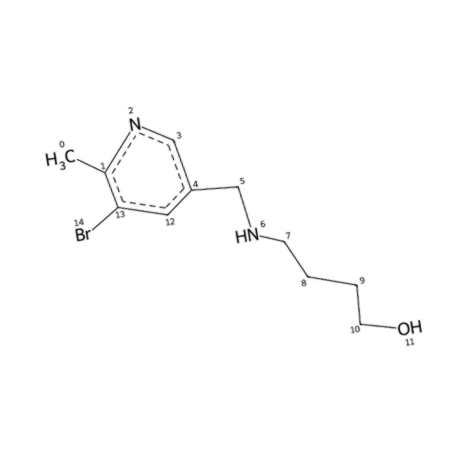 Cc1ncc(CNCCCCO)cc1Br